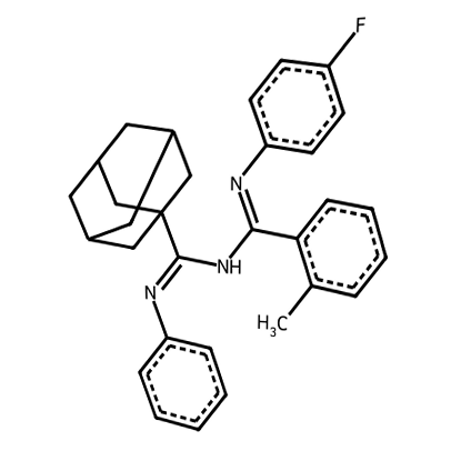 Cc1ccccc1/C(=N\c1ccc(F)cc1)N/C(=N\c1ccccc1)C12CC3CC(CC(C3)C1)C2